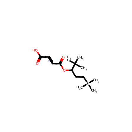 CC(C)(C)C(CC[Si](C)(C)C)OC(=O)/C=C/C(=O)O